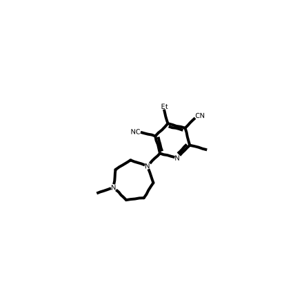 CCc1c(C#N)c(C)nc(N2CCCN(C)CC2)c1C#N